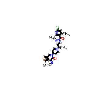 CON=CC(=O)N(Cc1ccsc1)C1CCN([C@H](C)CCNC(=O)c2c(C)cc(Cl)nc2C)CC1